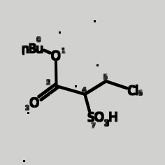 CCCCOC(=O)C(CCl)S(=O)(=O)O